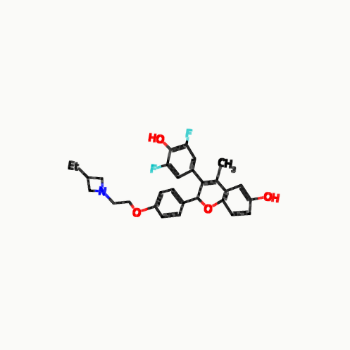 CCC1CN(CCOc2ccc(C3Oc4ccc(O)cc4C(C)=C3c3cc(F)c(O)c(F)c3)cc2)C1